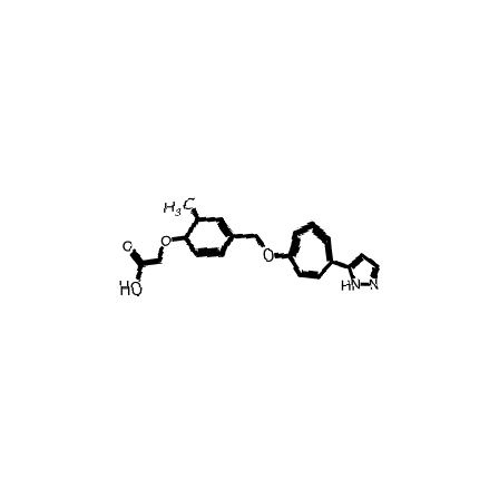 CC1C=C(COC2=CC=C=C(c3ccn[nH]3)C=C2)C=CC1OCC(=O)O